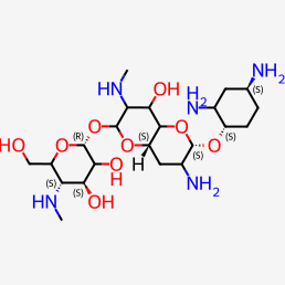 CNC1C(O[C@H]2OC(CO)[C@@H](NC)[C@H](O)C2O)O[C@H]2CC(N)[C@@H](O[C@H]3CC[C@H](N)CC3N)OC2C1O